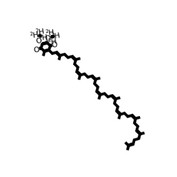 [2H]C([2H])([2H])OC1=C(OC([2H])([2H])[2H])C(=O)C(C/C=C(\C)CC/C=C(/C)CC/C=C(/C)CC/C=C(/C)CC/C=C(/C)CC/C=C(/C)CC/C=C(/C)CC/C=C(/C)CC/C=C(\C)CCC=C(C)C)=C(C)C1=O